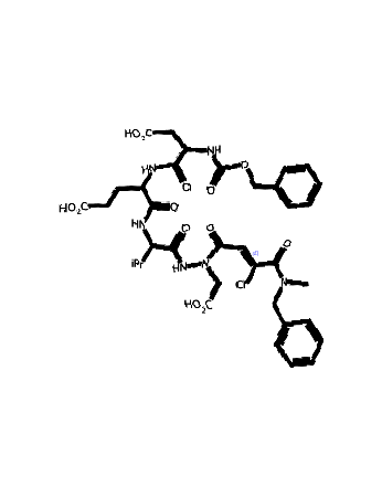 CC(C)C(NC(=O)C(CCC(=O)O)NC(=O)C(CC(=O)O)NC(=O)OCc1ccccc1)C(=O)NN(CC(=O)O)C(=O)/C=C(\Cl)C(=O)N(C)Cc1ccccc1